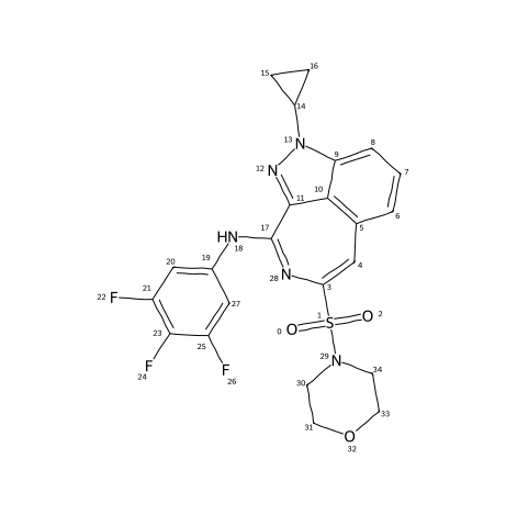 O=S(=O)(C1=Cc2cccc3c2c(nn3C2CC2)C(Nc2cc(F)c(F)c(F)c2)=N1)N1CCOCC1